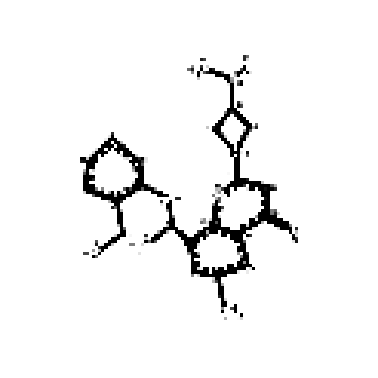 Cc1cc(C(C)Nc2ccccc2CO)c2oc(N3CC(N(C)C)C3)cc(=O)c2c1